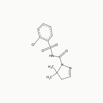 CC1(C)CC=NN1C(=O)NS(=O)(=O)c1ccccc1Cl